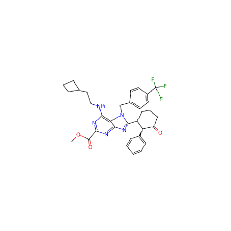 COC(=O)c1nc(NCCC2CCC2)c2c(n1)nc(C1CCCC(=O)[C@H]1c1ccccc1)n2Cc1ccc(C(F)(F)F)cc1